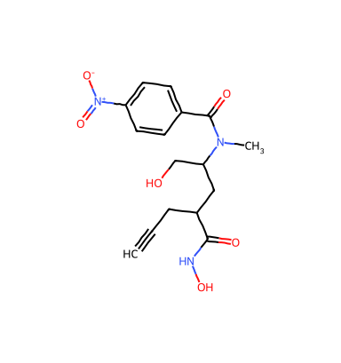 C#CCC(CC(CO)N(C)C(=O)c1ccc([N+](=O)[O-])cc1)C(=O)NO